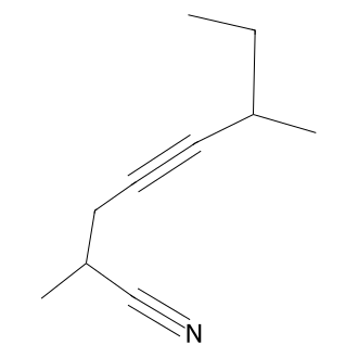 CCC(C)C#CCC(C)C#N